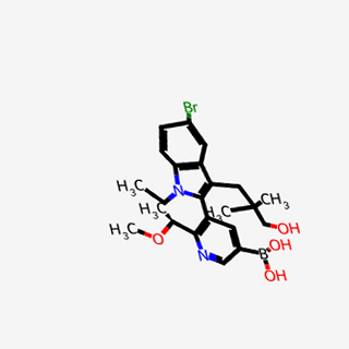 CCn1c(-c2cc(B(O)O)cnc2[C@H](C)OC)c(CC(C)(C)CO)c2cc(Br)ccc21